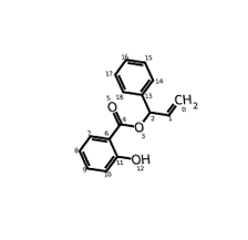 C=CC(OC(=O)c1ccccc1O)c1ccccc1